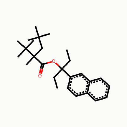 CCC(CC)(OC(=O)C(C)(CC(C)(C)C)C(C)(C)C)c1ccc2ccccc2c1